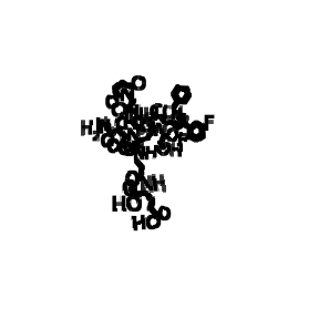 CC(NC(=O)CN1C(=O)C=CC1=O)C(=O)N(C(CC(N)=O)C(=O)O)C(CCN(C(=O)CO)C(c1cc(-c2cc(F)ccc2F)cn1Cc1ccccc1)C(C)(C)C)C(=O)NCCC(=O)NC(CCC(=O)O)C(=O)O